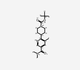 Cc1cc(C(=O)N(C)C)cnc1C1CCN(C(=O)OC(C)(C)C)CC1